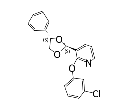 Clc1cccc(Oc2ncccc2[C@H]2OC[C@H](c3ccccc3)O2)c1